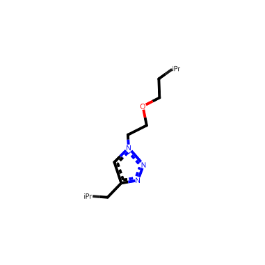 CC(C)CCOCCn1cc(CC(C)C)nn1